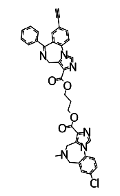 C#Cc1ccc2c(c1)C(c1ccccc1)=NCc1c(C(=O)OCCCOC(=O)c3ncn4c3CN(C)Cc3cc(Cl)ccc3-4)ncn1-2